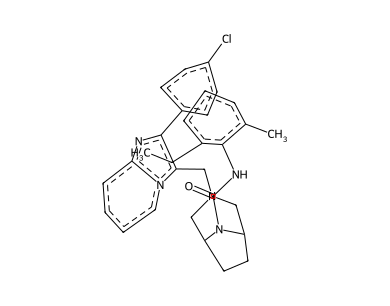 CCc1cccc(C)c1NC(=O)N1C2CCC1CN(Cc1c(-c3ccc(Cl)cc3)nc3ccccn13)C2